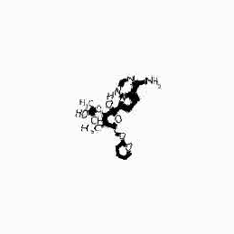 C[C@H]1[C@@H](OC(C)(C)O)C(O)(c2ccc3c(N)ncnn23)O[C@@H]1COC1CCCCO1